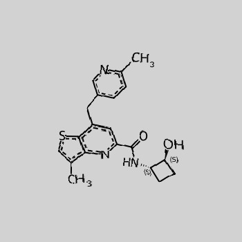 Cc1ccc(Cc2cc(C(=O)N[C@H]3CC[C@@H]3O)nc3c(C)csc23)cn1